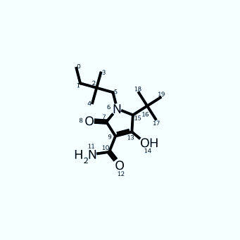 CCC(C)(C)CN1C(=O)C(C(N)=O)=C(O)C1C(C)(C)C